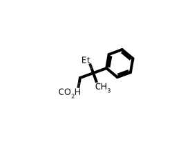 CCC(C)(CC(=O)O)c1ccccc1